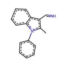 Cc1c(C=N)c2ccccc2n1-c1ccccc1